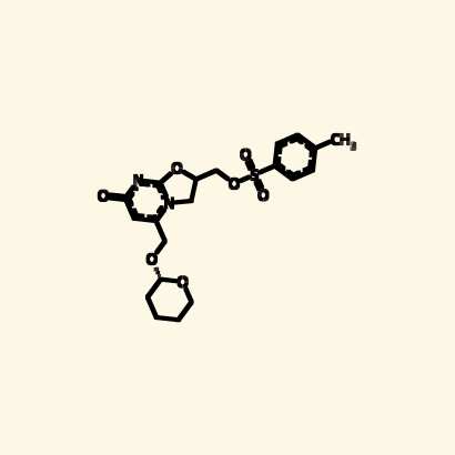 Cc1ccc(S(=O)(=O)OCC2Cn3c(CO[C@H]4CCCCO4)cc(=O)nc3O2)cc1